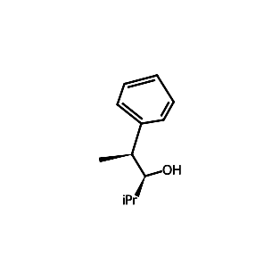 CC(C)[C@H](O)[C@@H](C)c1ccccc1